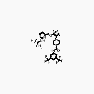 CC(C)Nc1nccc(COc2nsnc2N2CCN(C(=O)Nc3cc(C(F)(F)F)cc(C(F)(F)F)c3)CC2)n1